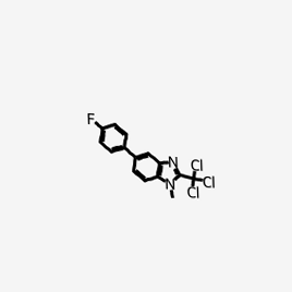 Cn1c(C(Cl)(Cl)Cl)nc2cc(-c3ccc(F)cc3)ccc21